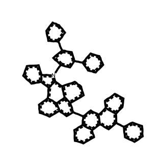 c1ccc(-c2cc(-c3ccccc3)cc(-n3c4ccccc4c4c5cccc6cc(-c7cc8c9ccccc9c(-c9ccccc9)cc8c8ccccc78)c7cccc(c7c65)c43)c2)cc1